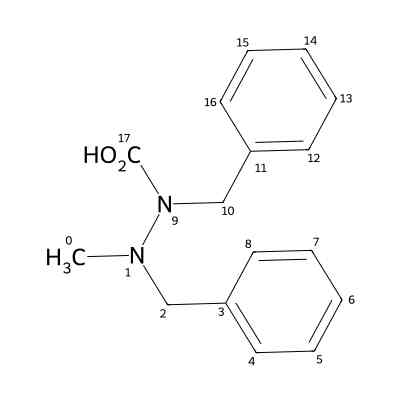 CN(Cc1ccccc1)N(Cc1ccccc1)C(=O)O